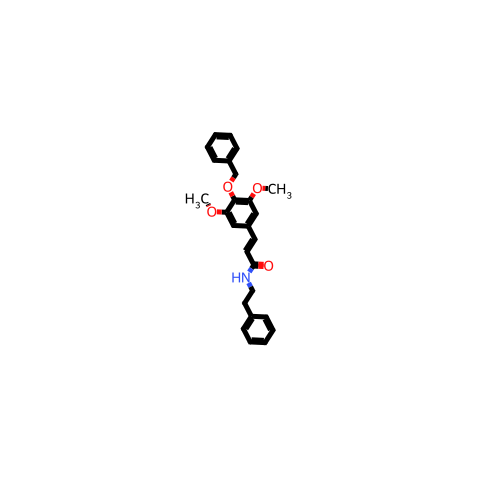 COc1cc(/C=C/C(=O)NCCc2ccccc2)cc(OC)c1OCc1ccccc1